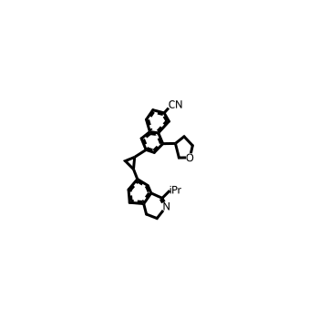 CC(C)C1=NCCc2ccc(C3CC3c3cc(C4CCOC4)c4cc(C#N)ccc4c3)cc21